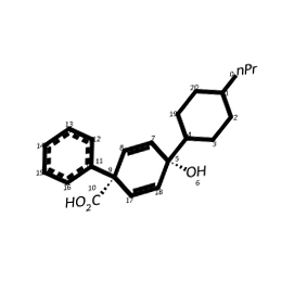 CCCC1CCC([C@]2(O)C=C[C@](C(=O)O)(c3ccccc3)C=C2)CC1